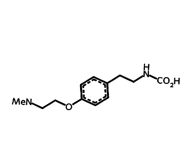 CNCCOc1ccc(CCNC(=O)O)cc1